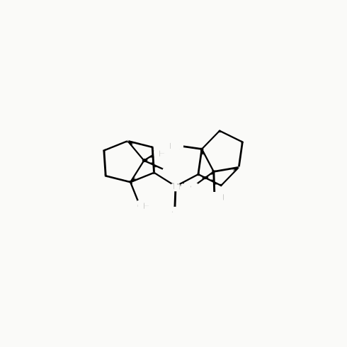 CC1(C)C2CCC1(C)C(P(Cl)C1CC3CCC1(C)C3(C)C)C2